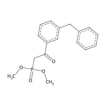 COP(=O)(CC(=O)c1cccc(Cc2ccccc2)c1)OC